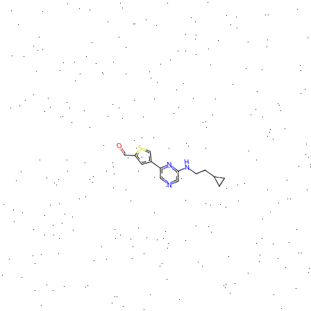 O=Cc1cc(-c2cncc(NCCC3CC3)n2)cs1